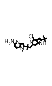 Cn1c(C(C)(C)Cc2cc3[nH]c(C(C)(C)C)cc3c(Cl)n2)cc2nc(N)ccc21